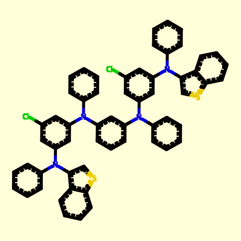 Clc1cc(N(c2ccccc2)c2cccc(N(c3ccccc3)c3cc(Cl)cc(N(c4ccccc4)c4csc5ccccc45)c3)c2)cc(N(c2ccccc2)c2csc3ccccc23)c1